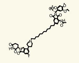 CCOc1cc([C@@H](CS(C)(=O)=O)N2C(=O)c3cc(CCCCCCCCCCCCN4CCC(c5cc(F)cc6c5CN(C5CCC(=O)NC5=O)C6=O)CC4)cc(NC(C)=O)c3C2=O)ccc1OC